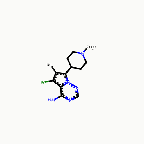 N#Cc1c(Br)c2c(N)ncnn2c1C1CCN(C(=O)O)CC1